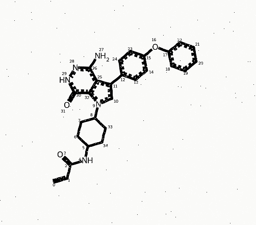 C=CC(=O)NC1CCC(n2cc(-c3ccc(Oc4ccccc4)cc3)c3c(N)n[nH]c(=O)c32)CC1